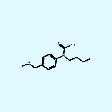 CCCCN(C(N)=S)c1ccc(COC)cc1